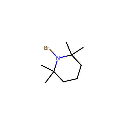 CC1(C)CCCC(C)(C)N1Br